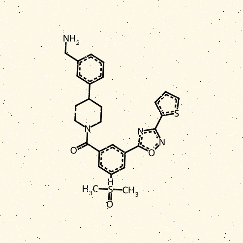 C[SH](C)(=O)c1cc(C(=O)N2CCC(c3cccc(CN)c3)CC2)cc(-c2nc(-c3cccs3)no2)c1